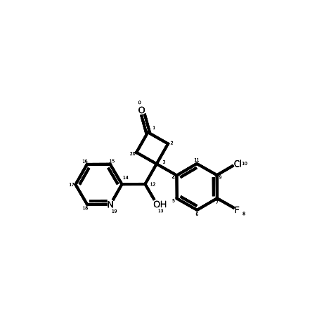 O=C1CC(c2ccc(F)c(Cl)c2)(C(O)c2ccccn2)C1